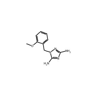 COc1ccccc1Cn1nc(N)nc1N